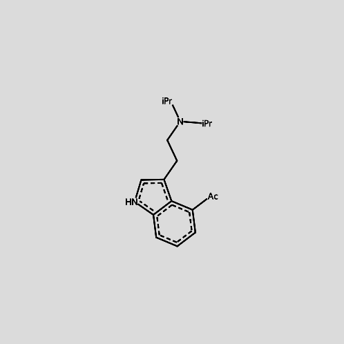 CC(=O)c1cccc2[nH]cc(CCN(C(C)C)C(C)C)c12